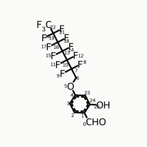 O=Cc1ccc(OCC(F)(F)C(F)(F)C(F)(F)C(F)(F)C(F)(F)C(F)(F)F)cc1O